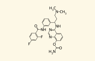 CN(C)CCC(Nc1ncnc2c(OC(N)=O)cccc12)c1cccc(NC(=O)c2ccc(F)cc2F)c1